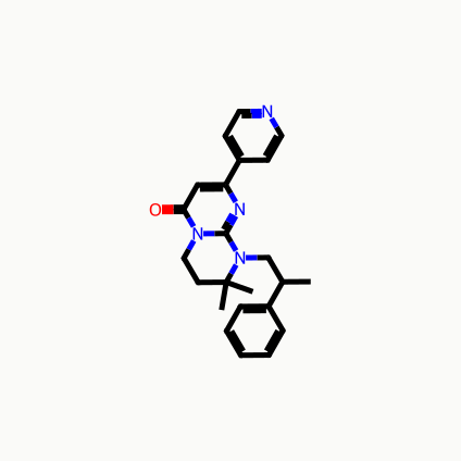 CC(CN1c2nc(-c3ccncc3)cc(=O)n2CCC1(C)C)c1ccccc1